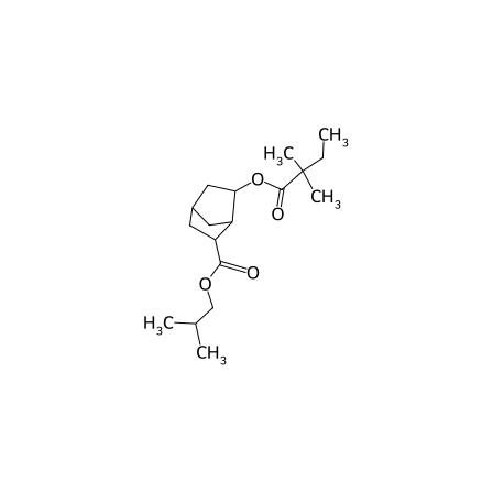 CCC(C)(C)C(=O)OC1CC2CC(C(=O)OCC(C)C)C1C2